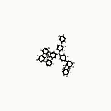 c1ccc(-c2ccc(N(c3ccc(-c4cccc5c4oc4ccccc45)cc3)c3ccc([Si](c4ccccc4)(c4ccccc4)c4ccccc4)cc3)cc2)cc1